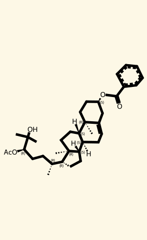 CC(=O)O[C@H](CC[C@@H](C)[C@H]1CC[C@H]2[C@@H]3CC=C4C[C@@H](OC(=O)c5ccccc5)CC[C@]4(C)[C@H]3CC[C@]12C)C(C)(C)O